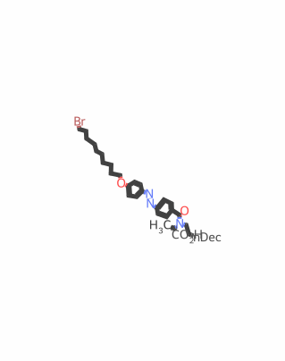 CCCCCCCCCCCCN(C(=O)c1ccc(N=Nc2ccc(OCCCCCCCCCCBr)cc2)cc1)[C@@H](C)C(=O)O